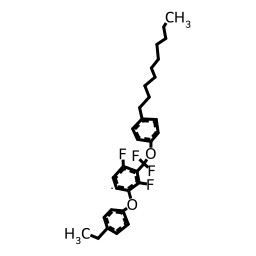 CCCCCCCCCCc1ccc(OC(F)(F)c2c(F)c[c]c(Oc3ccc(CC)cc3)c2F)cc1